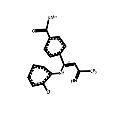 CNC(=O)c1ccc(/C(=C/C(=N)C(F)(F)F)Nc2ccccc2Cl)cc1